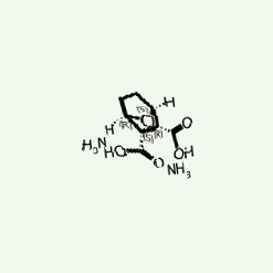 N.N.O=C(O)[C@@H]1[C@H](C(=O)O)[C@H]2CC[C@@H]1O2